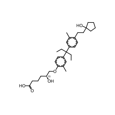 CCC(CC)(c1ccc(CCC2(O)CCCC2)c(C)c1)c1ccc(OC[C@@H](O)CCCC(=O)O)c(C)c1